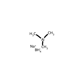 [BH4-].[CH3][Al]([CH3])[CH3].[Na+]